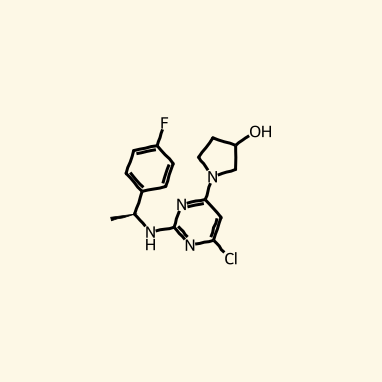 C[C@H](Nc1nc(Cl)cc(N2CCC(O)C2)n1)c1ccc(F)cc1